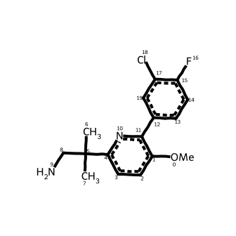 COc1ccc(C(C)(C)CN)nc1-c1ccc(F)c(Cl)c1